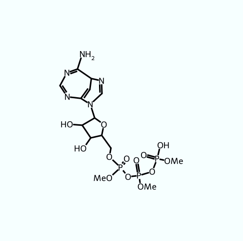 COP(=O)(O)OP(=O)(OC)OP(=O)(OC)OCC1OC(N2C=NC3C=C2N=CN=C3N)C(O)C1O